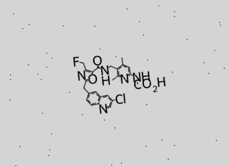 Cc1cc(NC(=O)O)nc(C)c1CNC(=O)c1oc(Cc2ccc3ncc(Cl)cc3c2)nc1CF